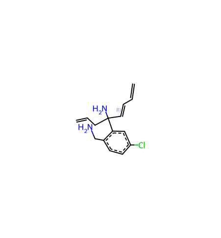 C=C/C=C/C(N)(CC=C)c1cc(Cl)ccc1CN